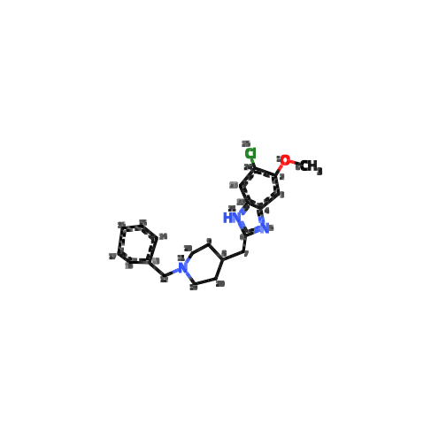 COc1cc2nc(CC3CCN(Cc4ccccc4)CC3)[nH]c2cc1Cl